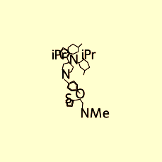 CNCCC(Oc1ccc(CN2CCC(c3ccccc3)(N(C3CC(C)CCC3C(C)C)C3CC(C)CCC3C(C)C)CC2)cc1)c1cccs1